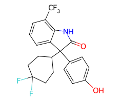 O=C1Nc2c(C(F)(F)F)cccc2C1(c1ccc(O)cc1)C1CCC(F)(F)CC1